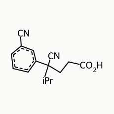 CC(C)C(C#N)(CCC(=O)O)c1cccc(C#N)c1